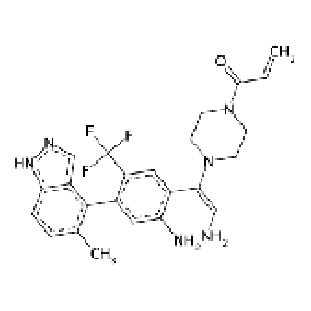 C=CC(=O)N1CCN(/C(=C/N)c2cc(C(F)(F)F)c(-c3c(C)ccc4[nH]ncc34)cc2N)CC1